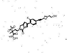 CC(CCN1Cc2cc(-c3ccc(C#CC4CN(CCO)C4)cc3F)cn2C1=O)(C(=O)NO)S(C)(=O)=O